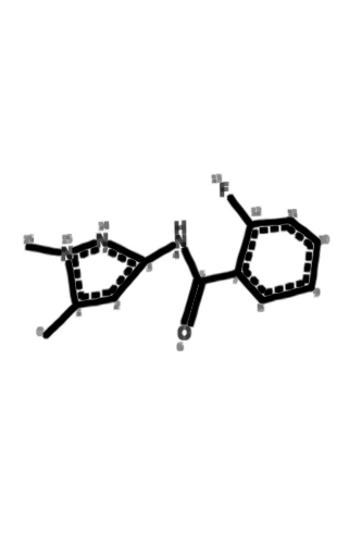 Cc1cc(NC(=O)c2ccccc2F)nn1C